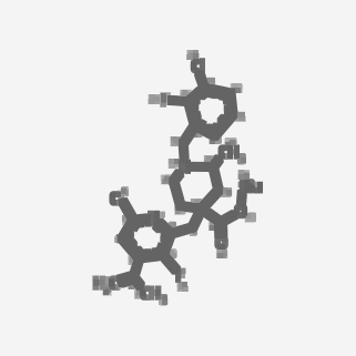 C=C(C)c1cc(Cl)nc(CC2(C(=O)OC(C)(C)C)CCN(Cc3cccc(Cl)c3F)C(C)C2)c1F